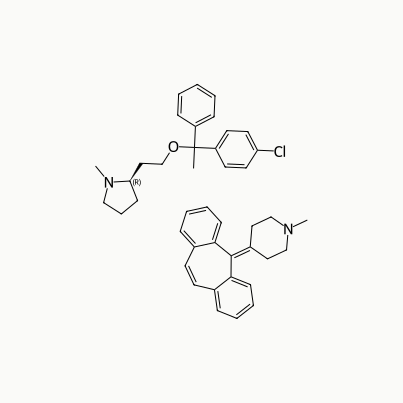 CN1CCC(=C2c3ccccc3C=Cc3ccccc32)CC1.CN1CCC[C@@H]1CCOC(C)(c1ccccc1)c1ccc(Cl)cc1